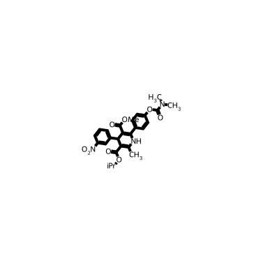 COC(=O)C1=C(c2ccc(OC(=O)N(C)C)cc2)NC(C)=C(C(=O)OC(C)C)C1c1cccc([N+](=O)[O-])c1